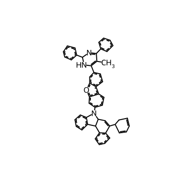 CC1=C(c2ccc3c(c2)oc2cc(N4c5ccccc5C5c6ccccc6C(C6C=CC=CC6)=CC54)ccc23)NC(c2ccccc2)N=C1c1ccccc1